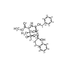 COC(=O)[C@@H](NC(=O)OCc1ccccc1)C(C)(C)S(=O)(=O)C[C@@H](Cc1ccccc1)C(=O)O